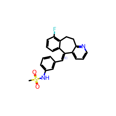 CS(=O)(=O)Nc1cccc(/C=C2/c3cccnc3CCc3c(F)cccc32)c1